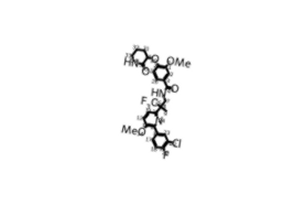 COc1cc(C(=O)NCC(C)(c2ccc(OC)c(-c3ccc(F)c(Cl)c3)n2)C(F)(F)F)ccc1OC1CCCNC1=O